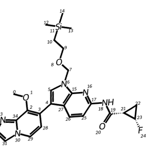 COc1c(-c2cn(COCC[Si](C)(C)C)c3nc(NC(=O)[C@@H]4C[C@@H]4F)ccc23)ccn2ccnc12